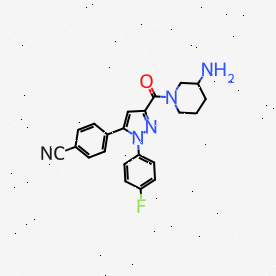 N#Cc1ccc(-c2cc(C(=O)N3CCCC(N)C3)nn2-c2ccc(F)cc2)cc1